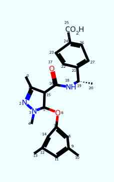 CC1=NN(C)C(Oc2cc(C)cc(C)c2)C1C(=O)N[C@@H](C)c1ccc(C(=O)O)cc1